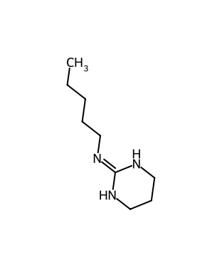 CCCCCN=C1NCCCN1